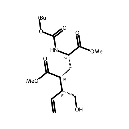 C=C[C@@H](CO)[C@@H](C[C@H](NC(=O)OC(C)(C)C)C(=O)OC)C(=O)OC